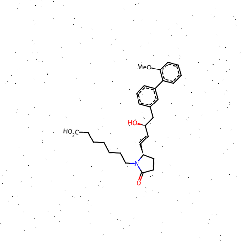 COc1ccccc1-c1cccc(C[C@H](O)/C=C/[C@H]2CCC(=O)N2CCCCCCC(=O)O)c1